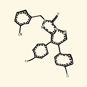 N#Cc1cccc(Cn2nc3c(-c4ccc(Cl)cc4)c(-c4ccc(Cl)cc4)cnn3c2=O)c1